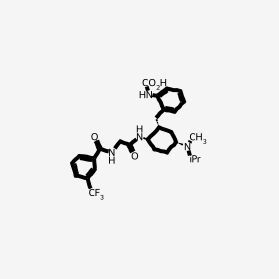 CC(C)N(C)[C@@H]1CC[C@H](NC(=O)CNC(=O)c2cccc(C(F)(F)F)c2)[C@H](Cc2ccccc2NC(=O)O)C1